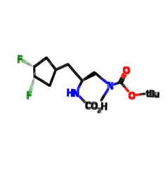 CN(C[C@H](CC1C[C@@H](F)[C@@H](F)C1)NC(=O)O)C(=O)OC(C)(C)C